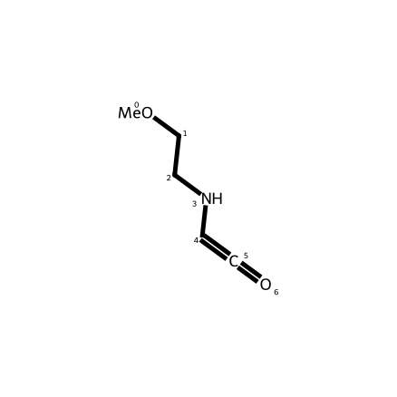 COCCN[C]=C=O